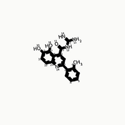 Cc1ccccc1-c1cc(C(=O)NC(=N)N)c2c(O)c(O)ccc2n1